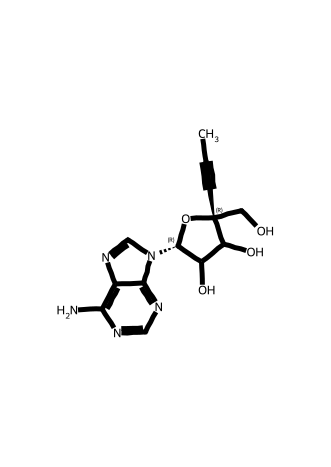 CC#C[C@]1(CO)O[C@@H](n2cnc3c(N)ncnc32)C(O)C1O